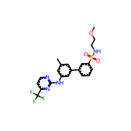 COCCNS(=O)(=O)c1cccc(-c2cc(C)cc(Nc3nccc(C(F)(F)F)n3)c2)c1